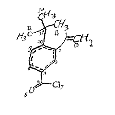 C=Cc1cc(C(=O)Cl)ccc1C(C)(C)C